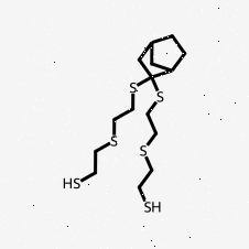 SCCSCCSC1(SCCSCCS)CC2CCC1C2